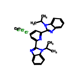 CC(C)n1c(-c2cccc(-c3nc4ccccc4n3C(C)C)n2)nc2ccccc21.[Cl-].[Cl-].[Cl-].[Co+3]